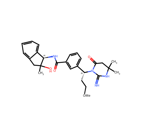 COCC[C@H](c1cccc(C(=O)N[C@@H]2c3ccccc3CC2(C)O)c1)N1C(=N)NC(C)(C)CC1=O